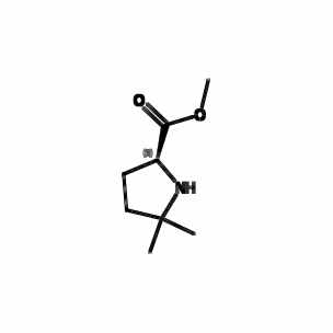 COC(=O)[C@@H]1CCC(C)(C)N1